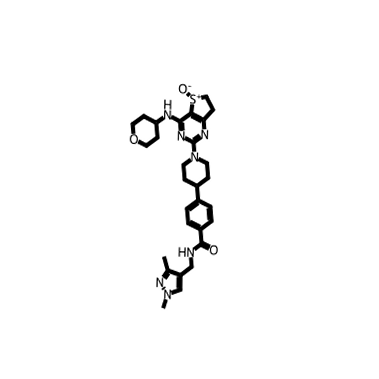 Cc1nn(C)cc1CNC(=O)c1ccc(C2CCN(c3nc4c(c(NC5CCOCC5)n3)[S+]([O-])CC4)CC2)cc1